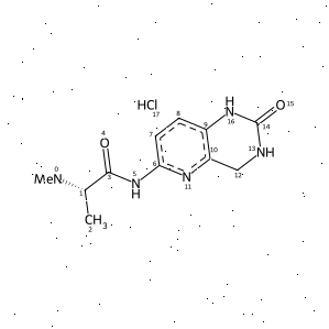 CN[C@@H](C)C(=O)Nc1ccc2c(n1)CNC(=O)N2.Cl